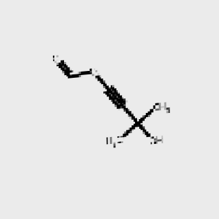 CC(C)(O)C#COC=O